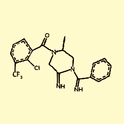 CC1CN(C(=N)c2ccccc2)C(=N)CN1C(=O)c1cccc(C(F)(F)F)c1Cl